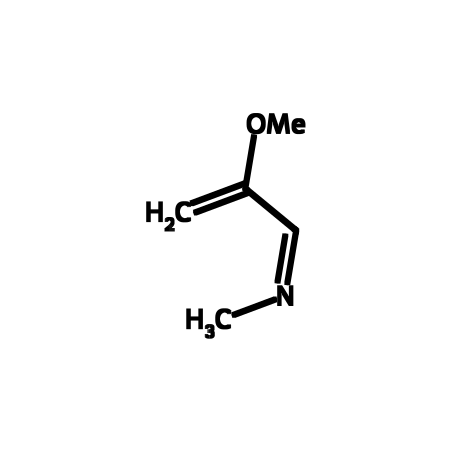 C=C(/C=N\C)OC